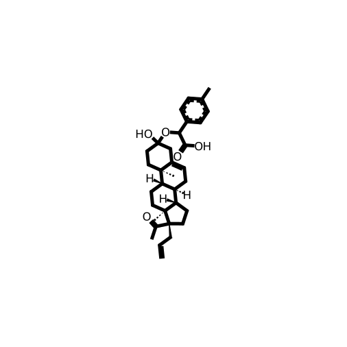 C=CC[C@]1(C(C)=O)CC[C@H]2[C@@H]3CC=C4CC(O)(OC(C(=O)O)c5ccc(C)cc5)CC[C@]4(C)[C@H]3CC[C@@]21C